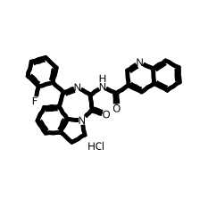 Cl.O=C(NC1N=C(c2ccccc2F)c2cccc3c2N(CC3)C1=O)c1cnc2ccccc2c1